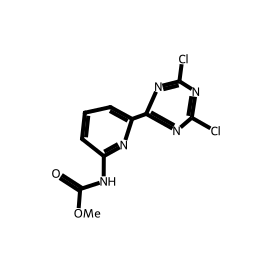 COC(=O)Nc1cccc(-c2nc(Cl)nc(Cl)n2)n1